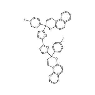 Fc1ccc(C2(c3ccc(-c4ccc(C5(c6ccc(F)cc6)C=Cc6c(ccc7ccccc67)O5)s4)s3)C=Cc3c(ccc4ccccc34)O2)cc1